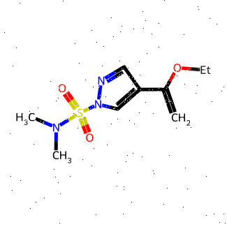 C=C(OCC)c1cnn(S(=O)(=O)N(C)C)c1